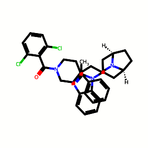 Cc1nc2ccccc2n1C1C[C@H]2CC[C@@H](C1)N2CCC1(c2ccccc2)CCN(C(=O)c2c(Cl)cccc2Cl)CC1